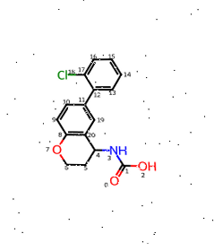 O=C(O)NC1CCOc2ccc(-c3ccccc3Cl)cc21